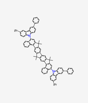 CC(C)c1ccc2c(c1)c1cc(-c3ccccc3)ccc1n2-c1cc2c(c3ccccc13)-c1cc3c(cc1C2(C)C)-c1cc2c(cc1C3(C)C)-c1c(cc(-n3c4ccc(-c5ccccc5)cc4c4cc(C(C)C)ccc43)c3ccccc13)C2(C)C